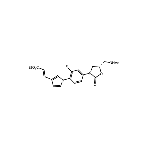 CCOC(=O)C=Cc1ccn(-c2ccc(N3C[C@H](CNC(C)=O)OC3=O)cc2F)c1